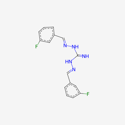 N=C(N/N=C/c1cccc(F)c1)N/N=C/c1cccc(F)c1